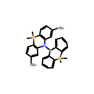 CCCCc1ccc2c(c1)N(B1c3ccccc3S(C)(C)c3ccccc31)c1cc(CCCC)ccc1S2(C)C